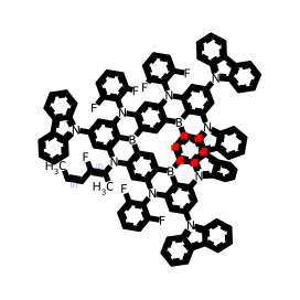 C/C=C\C(F)=C(/C)N1c2cc3c(cc2B2c4cc5c(cc4N(c4c(F)cccc4F)c4cc(-n6c7ccccc7c7ccccc76)cc1c42)N(c1c(F)cccc1F)c1cc(-n2c4ccccc4c4ccccc42)cc2c1B5c1cccc4c5ccccc5n-2c14)B1c2c(cc(-n4c5ccccc5c5ccccc54)cc2-n2c4ccccc4c4cccc1c42)N3c1c(F)cccc1F